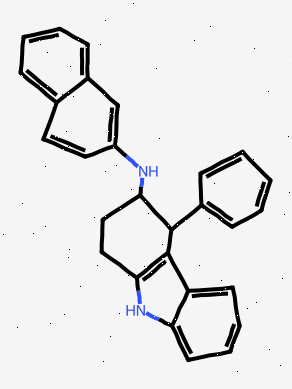 c1ccc(C2c3c([nH]c4ccccc34)CCC2Nc2ccc3ccccc3c2)cc1